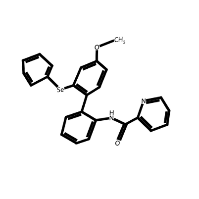 COc1ccc(-c2ccccc2NC(=O)c2ccccn2)c([Se]c2ccccc2)c1